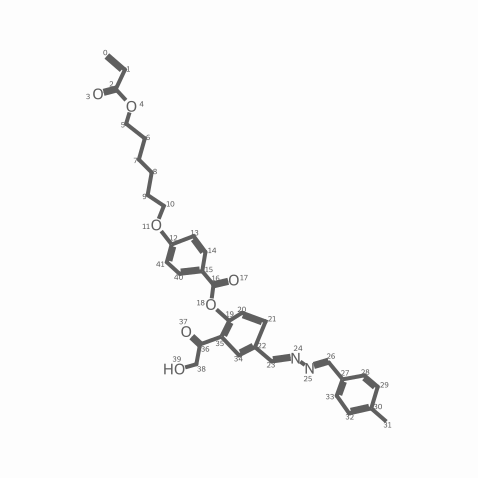 C=CC(=O)OCCCCCCOc1ccc(C(=O)Oc2ccc(/C=N/N=C/c3ccc(C)cc3)cc2C(=O)CO)cc1